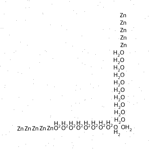 O.O.O.O.O.O.O.O.O.O.O.O.O.O.O.O.O.O.O.O.[Zn].[Zn].[Zn].[Zn].[Zn].[Zn].[Zn].[Zn].[Zn].[Zn]